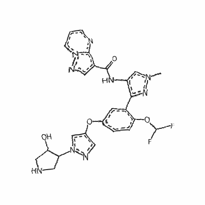 Cn1cc(NC(=O)c2cnn3cccnc23)c(-c2cc(Oc3cnn(C4CNCC4O)c3)ccc2OC(F)F)n1